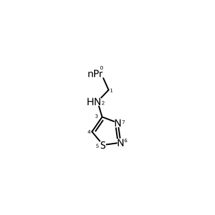 CCCCNc1csnn1